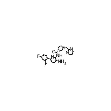 Nc1ccc(-c2ccc(F)cc2F)nc1NC(=O)N1CC[C@H](Cc2ncccn2)C1